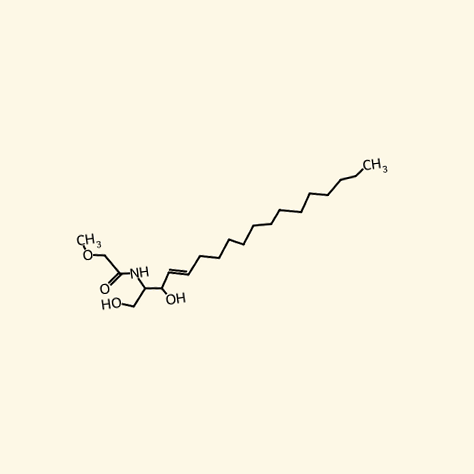 CCCCCCCCCCCCC/C=C/C(O)C(CO)NC(=O)COC